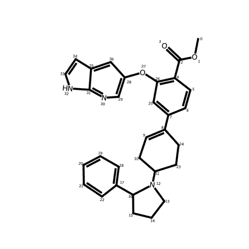 COC(=O)c1ccc(C2=CCC(N3CCCC3c3ccccc3)CC2)cc1Oc1cnc2[nH]ccc2c1